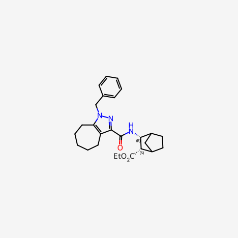 CCOC(=O)[C@H]1C2CCC(C2)[C@H]1NC(=O)c1nn(Cc2ccccc2)c2c1CCCCC2